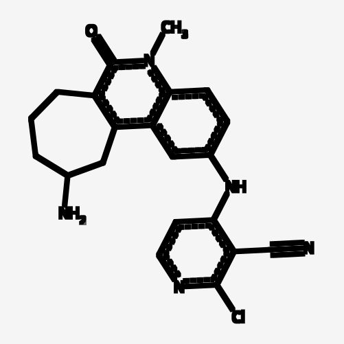 Cn1c(=O)c2c(c3cc(Nc4ccnc(Cl)c4C#N)ccc31)CC(N)CCC2